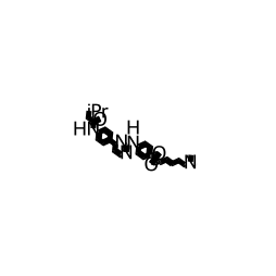 CC(C)CC(=O)Nc1ccc(-c2ccnc(Nc3ccc(S(=O)(=O)CC=CCCN(C)C)cc3)n2)cc1